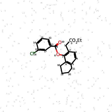 CCOC(=O)Cc1ccc2c(c1OC(=O)c1cccc(Cl)c1)CCCC2